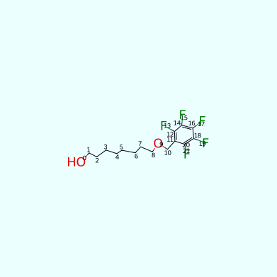 OCCCCCCCCOCc1c(F)c(F)c(F)c(F)c1F